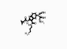 CCCCNC(=O)c1c(NC(=O)C2CC2)sc2c1CC(N(N=N)C(=N)SC)CC2